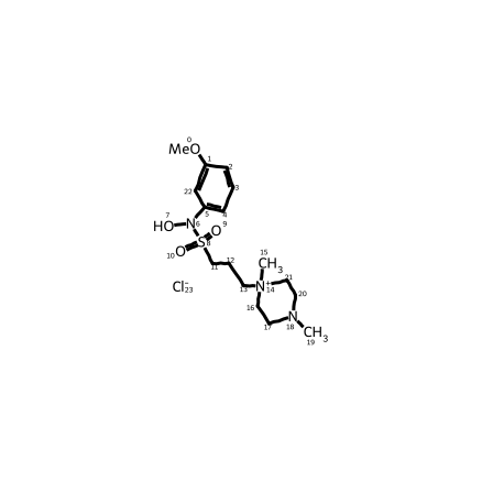 COc1cccc(N(O)S(=O)(=O)CCC[N+]2(C)CCN(C)CC2)c1.[Cl-]